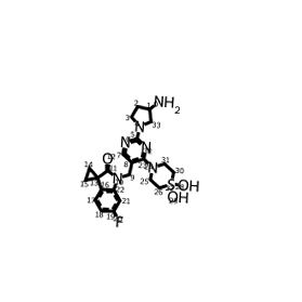 NC1CCN(c2ncc(CN3C(=O)C4(CC4)c4ccc(F)cc43)c(N3CCS(O)(O)CC3)n2)C1